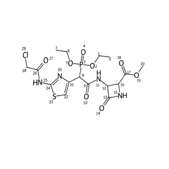 CCOP(=O)(OCC)C(C(=O)NC1C(=O)NC1C(=O)OC)c1csc(NC(=O)CCl)n1